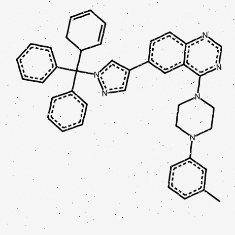 Cc1cccc(N2CCN(c3ncnc4ccc(-c5cnn(C(c6ccccc6)(c6ccccc6)C6C=CC=CC6)c5)cc34)CC2)c1